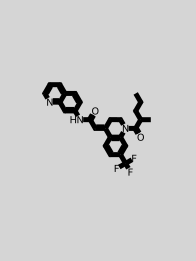 CCCC(C)C(=O)N1CCC(=CC(=O)Nc2ccc3cccnc3c2)c2ccc(C(F)(F)F)cc21